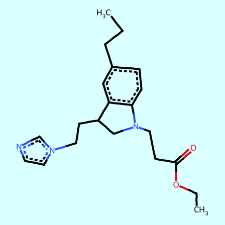 CCCc1ccc2c(c1)C(CCn1ccnc1)CN2CCC(=O)OCC